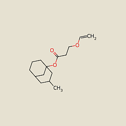 C=COCCC(=O)OC12CCCC(CC(C)C1)C2